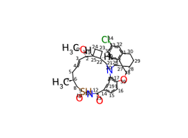 CO[C@H]1/C=C/C[C@H](C)C/[SH](=O)=N\C(=O)c2ccc3c(c2)N(C[C@@H]2CC[C@H]21)C[C@@]1(CCCc2cc(Cl)ccc21)CO3